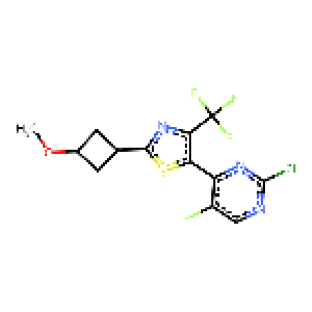 COC1CC(c2nc(C(F)(F)F)c(-c3nc(Cl)ncc3F)s2)C1